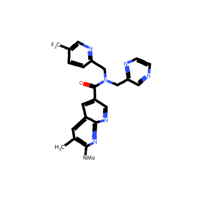 CNc1nc2ncc(C(=O)N(Cc3ccc(C(F)(F)F)cn3)Cc3cnccn3)cc2cc1C